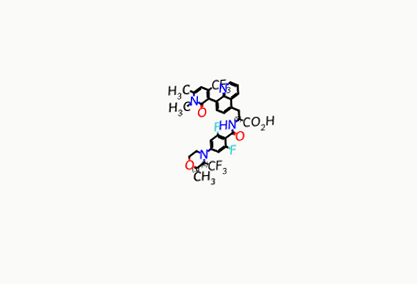 Cc1cc(C(F)(F)F)c(-c2ccc(C[C@H](NC(=O)c3c(F)cc(N4CCO[C@@H](C)[C@@H]4C(F)(F)F)cc3F)C(=O)O)c3cccnc23)c(=O)n1C